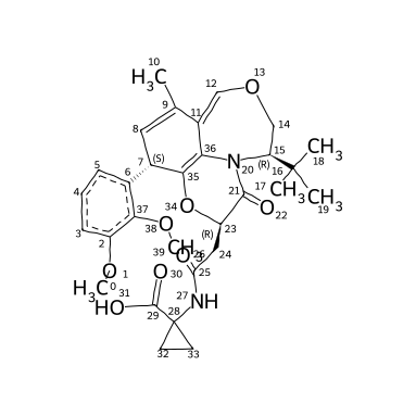 COc1cccc([C@@H]2C=C(C)C3=COC[C@@H](C(C)(C)C)N4C(=O)[C@@H](CC(=O)NC5(C(=O)O)CC5)OC2=C34)c1OC